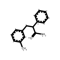 Cc1cccc(CC(C(N)=O)c2ccccc2)c1